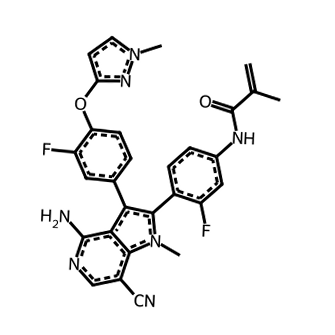 C=C(C)C(=O)Nc1ccc(-c2c(-c3ccc(Oc4ccn(C)n4)c(F)c3)c3c(N)ncc(C#N)c3n2C)c(F)c1